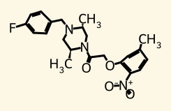 Cc1ccc([N+](=O)[O-])c(OCC(=O)N2C[C@@H](C)N(Cc3ccc(F)cc3)C[C@@H]2C)c1